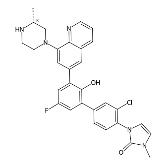 C[C@@H]1CN(c2cc(-c3cc(F)cc(-c4ccc(-n5ccn(C)c5=O)c(Cl)c4)c3O)cc3cccnc23)CCN1